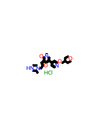 CC1CNCCN1Cc1cc2c(=O)n(C)cc(-c3ccnc(OCC4CCOCC4)c3)c2o1.Cl